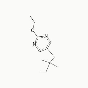 CCOc1ncc(CC(C)(C)CC)cn1